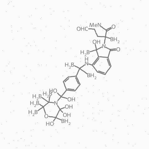 BC(B)(Nc1cccc2c1C(B)(O)N(C(B)(CCC=O)C(=O)NC)C2=O)c1ccc(C(O)(O)N2C(B)(B)C(B)(B)OC(B)(O)C2(O)O)cc1